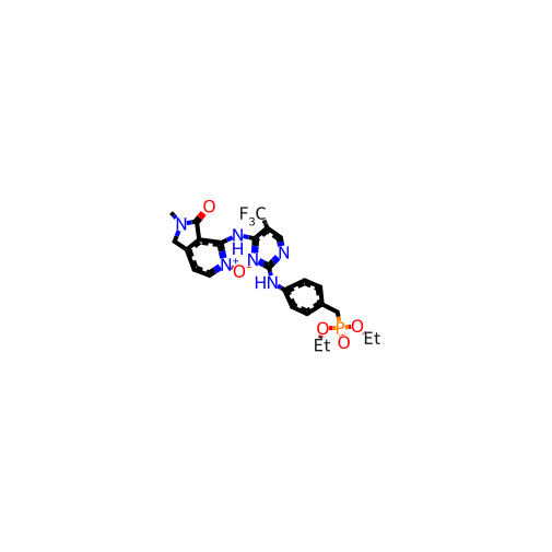 CCOP(=O)(Cc1ccc(Nc2ncc(C(F)(F)F)c(Nc3c4c(cc[n+]3[O-])CN(C)C4=O)n2)cc1)OCC